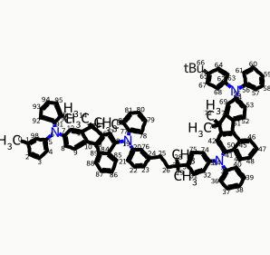 Cc1cccc(N(c2ccc3c(c2)C(C)(C)c2cc(N(c4cccc(CCC(C)(C)c5ccc(N(c6ccccc6)c6cc7c(c8ccccc68)-c6ccc(N(c8ccccc8)c8ccc(C(C)(C)C)cc8)cc6C7(C)C)cc5)c4)c4ccccc4C)c4ccccc4c2-3)c2ccccc2C)c1